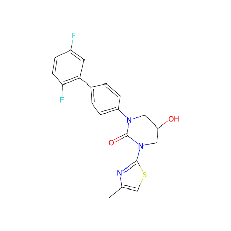 Cc1csc(N2CC(O)CN(c3ccc(-c4cc(F)ccc4F)cc3)C2=O)n1